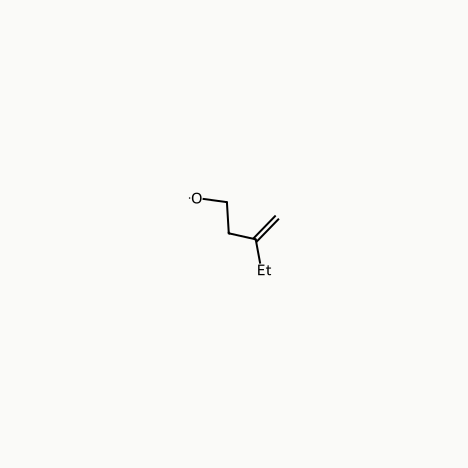 C=C(CC)CC[O]